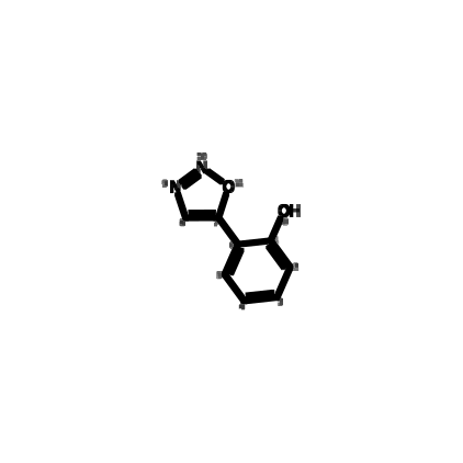 Oc1ccccc1-c1cnno1